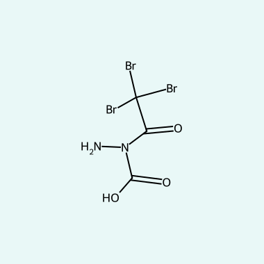 NN(C(=O)O)C(=O)C(Br)(Br)Br